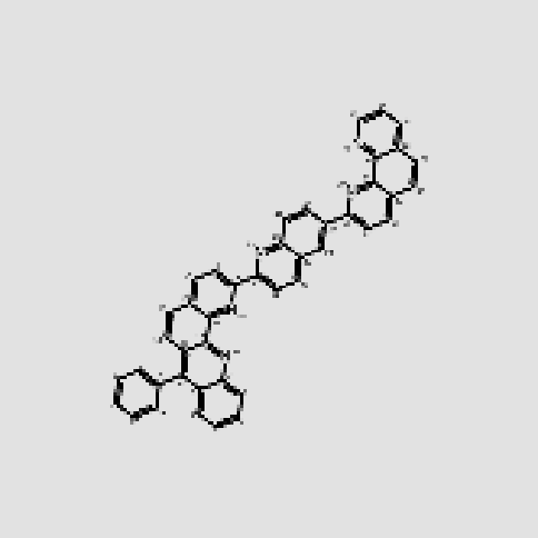 c1ccc(-c2c3ccccc3nc3c2ccc2ccc(-c4ccc5cc(-c6ccc7ccc8cccnc8c7n6)ccc5n4)nc23)cc1